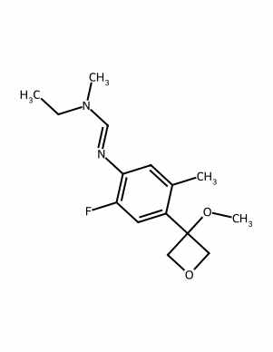 CCN(C)C=Nc1cc(C)c(C2(OC)COC2)cc1F